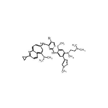 COc1cc(N(C)CCN(C)C)c(-c2cnn(C)c2)cc1Nc1ncc(Br)c(NC2=CC=c3nc(C4CC4)ccc3=C(P(C)C)C2)n1